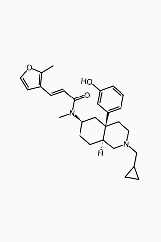 Cc1occc1/C=C/C(=O)N(C)[C@@H]1CC[C@@H]2CN(CC3CC3)CC[C@@]2(c2cccc(O)c2)C1